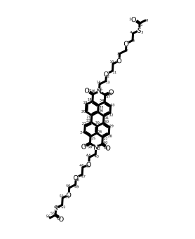 CC(=O)SCCOCCOCCOCCN1C(=O)c2ccc3c4ccc5c6c(ccc(c7ccc(c2c37)C1=O)c64)C(=O)N(CCOCCOCCOCCSC(C)=O)C5=O